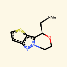 CNC[C@H]1OCCn2nc3ccsc3c21